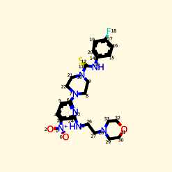 O=[N+]([O-])c1ccc(N2CCN(C(=S)Nc3ccc(F)cc3)CC2)nc1NCCN1CCOCC1